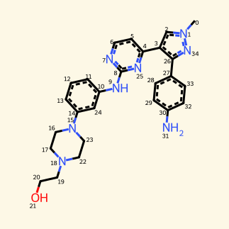 Cn1cc(-c2ccnc(Nc3cccc(N4CCN(CCO)CC4)c3)n2)c(-c2ccc(N)cc2)n1